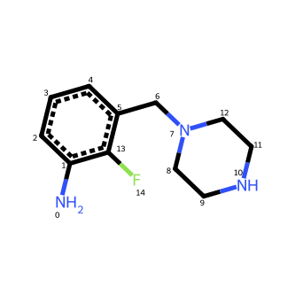 Nc1cccc(CN2CCNCC2)c1F